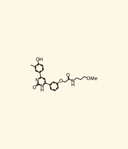 COCCCNC(=O)COc1cccc(-c2cc(-c3ccc(O)c(C)c3)nc(=O)[nH]2)c1